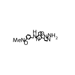 CNC(=O)c1cccc(CNc2ncc(-c3ccnc(N)n3)c3c2CCO3)c1